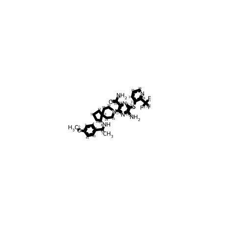 COc1ccc([C@@H](C)N[C@@H]2CCCC23CCN(c2nc(N)c(Sc4cccnc4C(F)(F)F)nc2C(N)=O)CC3)cc1